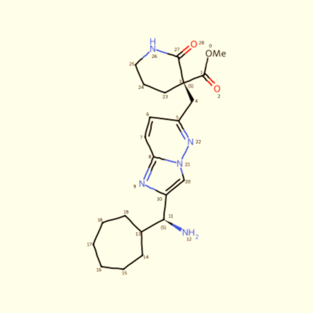 COC(=O)[C@]1(Cc2ccc3nc([C@@H](N)C4CCCCCC4)cn3n2)CCCNC1=O